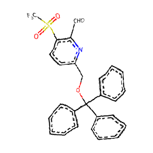 O=Cc1nc(COC(c2ccccc2)(c2ccccc2)c2ccccc2)ccc1S(=O)(=O)C(F)(F)F